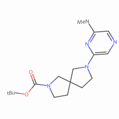 CNc1cncc(N2CCC3(CCN(C(=O)OC(C)(C)C)C3)C2)n1